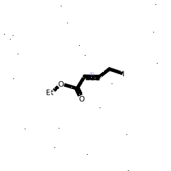 CCOC(=O)/C=C/CI